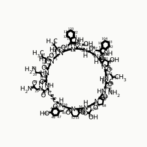 CCCC[C@H]1C(=O)N(C)[C@@H](CCCC)C(=O)N[C@@H](CCCN)C(=O)N[C@H](C(=O)NCC(N)=O)CSCC(=O)N[C@@H](Cc2ccc(O)cc2)C(=O)N2CCCC[C@H]2C(=O)N[C@@H](CC(=O)O)C(=O)N2CCC[C@H]2C(=O)N[C@@H](CN)C(=O)N[C@@H](CC(C)C)C(=O)N2C[C@H](O)C[C@H]2C(=O)N[C@@H](Cc2c[nH]c3ccccc23)C(=O)N[C@@H](CO)C(=O)N[C@@H](Cc2c[nH]c3ccccc23)C(=O)N1C